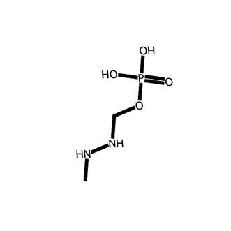 CNNCOP(=O)(O)O